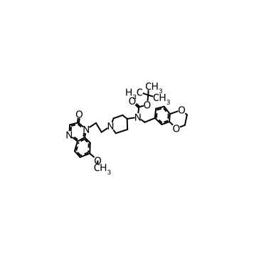 COc1ccc2ncc(=O)n(CCN3CCC(N(Cc4ccc5c(c4)OCCO5)C(=O)OC(C)(C)C)CC3)c2c1